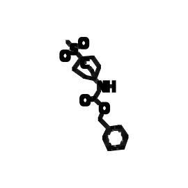 CS(=O)(=O)C12CCC(NC(=O)OCc3ccccc3)(CC1)CC2